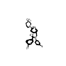 CN1CCCN(c2ccc(CN(C(=O)c3ccc(Cl)cc3)c3ccc(F)cc3)cn2)CC1